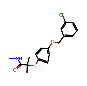 CNC(=O)C(C)(C)Oc1ccc(OCc2cccc(Cl)c2)cc1